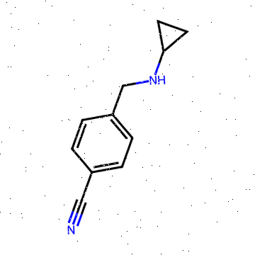 N#Cc1ccc(CNC2CC2)cc1